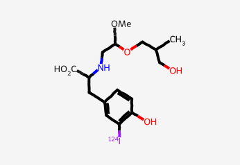 COC(CNC(Cc1ccc(O)c([124I])c1)C(=O)O)OCC(C)CO